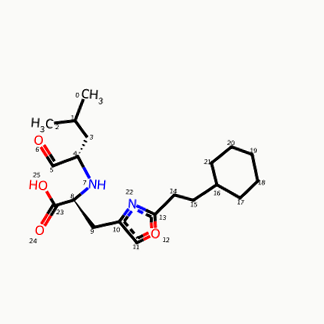 CC(C)C[C@@H](C=O)N[C@@H](Cc1coc(CCC2CCCCC2)n1)C(=O)O